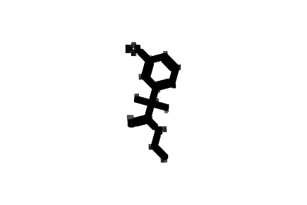 Bc1cccc(C(C)(C)C(=O)OCC)c1